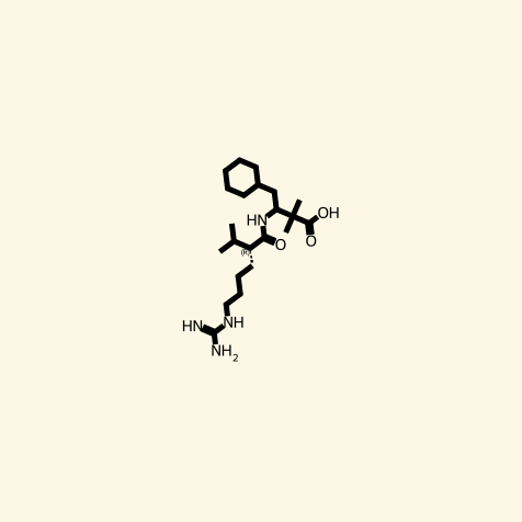 CC(C)[C@@H](CCCCNC(=N)N)C(=O)NC(CC1CCCCC1)C(C)(C)C(=O)O